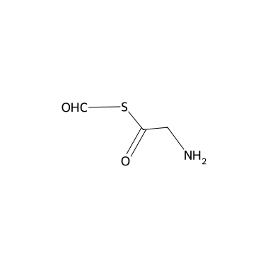 NCC(=O)SC=O